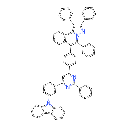 c1ccc(-c2nc(-c3ccc(-c4c(-c5ccccc5)n5nc(-c6ccccc6)c(-c6ccccc6)c5c5ccccc45)cc3)cc(-c3cccc(-n4c5ccccc5c5ccccc54)c3)n2)cc1